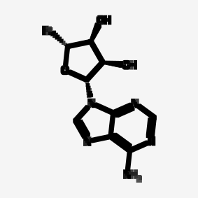 [CH2]C[C@H]1O[C@@H](n2cnc3c(N)ncnc32)[C@H](O)[C@@H]1O